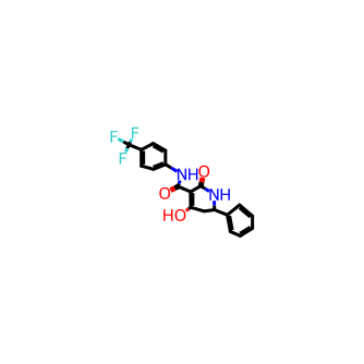 O=C(Nc1ccc(C(F)(F)F)cc1)C1=C(O)CC(c2ccccc2)NC1=O